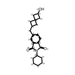 O=C1c2ccc(CC3CC4(CC(O)C4)C3)cc2C(=O)N1C1CCCCC1